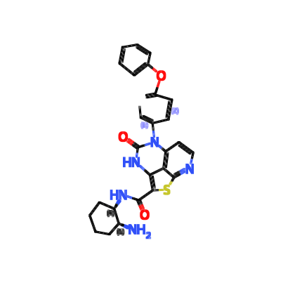 C=C(/C=C\C(=C/C)N1C(=O)Nc2c(C(=O)N[C@@H]3CCCC[C@@H]3N)sc3nccc1c23)Oc1ccccc1